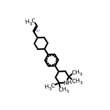 C/C=C/C1CCC(c2ccc(C3CC(C)(C)NC(C)(C)C3)cc2)CC1